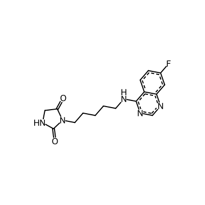 O=C1CNC(=O)N1CCCCCNc1ncnc2cc(F)ccc12